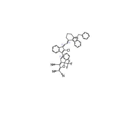 N#CC(C#N)=C1OC(c2ccccc2)(C(F)(F)F)C(/C=C/C2=C(Cl)C(=C\C=C3/CCCc4c3c3ccccc3n4Cc3ccccc3)/c3ccccc32)=C1C#N